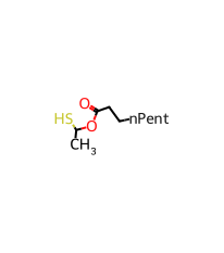 CCCCCCCC(=O)OC(C)S